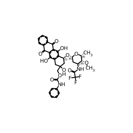 CO[C@@H]1[C@@H](NC(=O)C(F)(F)F)C[C@H](O[C@H]2CC(O)(COC(=O)Nc3ccccc3)Cc3c(O)c4c(c(O)c32)C(=O)c2ccccc2C4=O)O[C@@H]1C